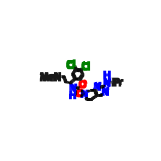 CNCCC(NC(=O)ON1CCc2cnc(NC(C)C)nc2C1)c1ccc(Cl)c(Cl)c1